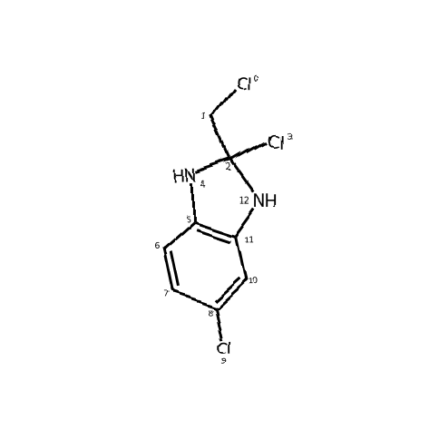 ClCC1(Cl)Nc2ccc(Cl)cc2N1